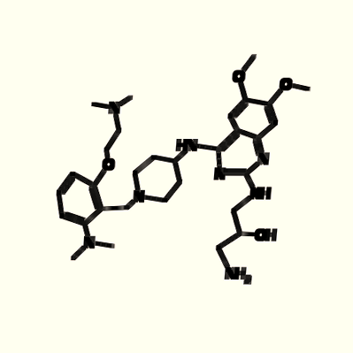 COc1cc2nc(NCC(O)CN)nc(NC3CCN(Cc4c(OCCN(C)C)cccc4N(C)C)CC3)c2cc1OC